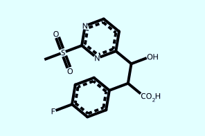 CS(=O)(=O)c1nccc(C(O)C(C(=O)O)c2ccc(F)cc2)n1